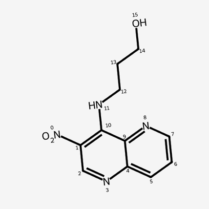 O=[N+]([O-])c1cnc2cccnc2c1NCCCO